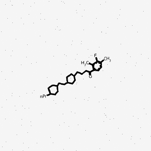 CCCC1CCC(CCC2CCC(CCCC(=O)c3ccc(C)c(F)c3C)CC2)CC1